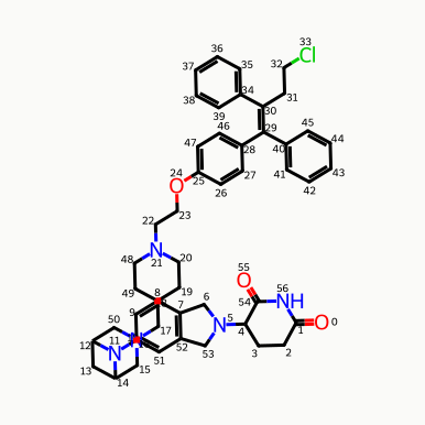 O=C1CCC(N2Cc3ccc(N4C5CC4CN(CC4CCN(CCOc6ccc(C(=C(CCCl)c7ccccc7)c7ccccc7)cc6)CC4)C5)cc3C2)C(=O)N1